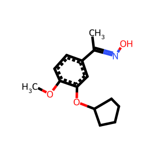 COc1ccc(/C(C)=N/O)cc1OC1CCCC1